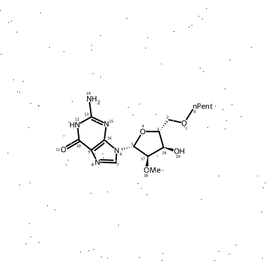 CCCCCOC[C@H]1O[C@@H](n2cnc3c(=O)[nH]c(N)nc32)[C@H](OC)[C@@H]1O